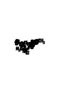 Cc1ccc(S(=O)(=O)NC(=O)/C=C/c2c(Cl)nc(C)n2Cc2ccc(-c3ccco3)cc2Cl)cc1